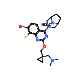 CN(C)CC1(COc2nc(N3CC4CCC(C3)N4C(=O)O)c3ccc(Br)c(F)c3n2)CC1